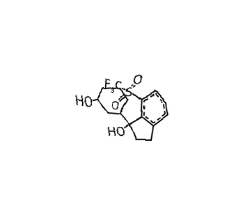 O=S(=O)(c1cccc2c1C(O)(C1CCCC(O)C1)CC2)C(F)(F)F